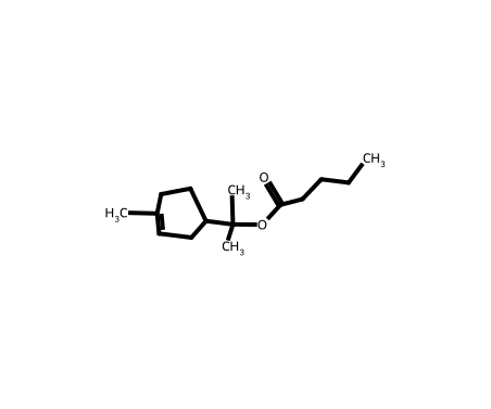 CCCCC(=O)OC(C)(C)C1CC=C(C)CC1